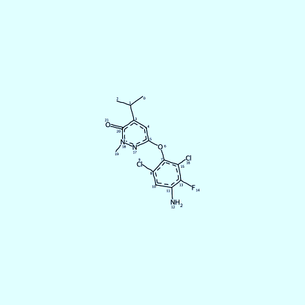 CC(C)c1cc(Oc2c(Cl)cc(N)c(F)c2Cl)nn(C)c1=O